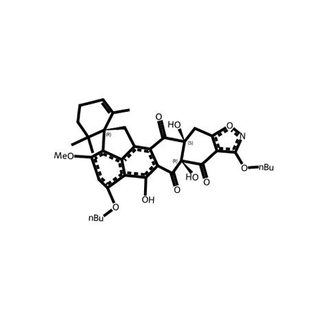 CCCCOc1noc2c1C(=O)[C@]1(O)C(=O)c3c(c4c5c(c(OC)cc(OCCCC)c5c3O)[C@@]3(C4)C(C)=CCCC3(C)C)C(=O)[C@]1(O)C2